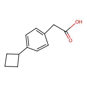 O=C(O)Cc1ccc(C2CCC2)cc1